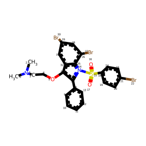 CN(C)CCOc1c(-c2ccccc2)n(S(=O)(=O)c2ccc(Br)cc2)c2c(Br)cc(Br)cc12